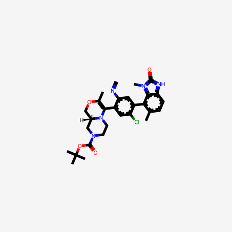 C=Nc1cc(-c2c(C)ccc3[nH]c(=O)n(C)c23)c(Cl)cc1C1=C(C)OC[C@H]2CN(C(=O)OC(C)(C)C)CCN12